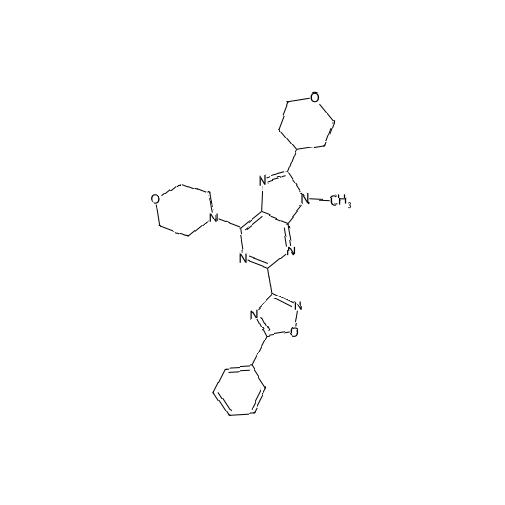 Cn1c(C2CCOCC2)nc2c(N3CCOCC3)nc(-c3noc(-c4ccccc4)n3)nc21